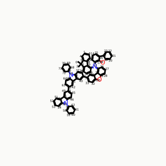 CC1(C)c2ccccc2-c2c(N(c3cccc4c3oc3ccccc34)c3cccc4oc5ccc(-c6ccc7c(c6)c6cc(-c8ccc9c(c8)c8ccccc8n9-c8ccccc8)ccc6n7-c6ccccc6)cc5c34)cccc21